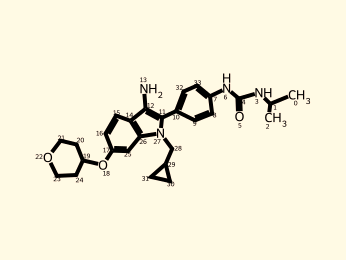 CC(C)NC(=O)Nc1ccc(-c2c(N)c3ccc(OC4CCOCC4)cc3n2CC2CC2)cc1